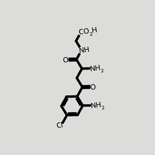 Nc1cc(Cl)ccc1C(=O)CC(N)C(=O)NCC(=O)O